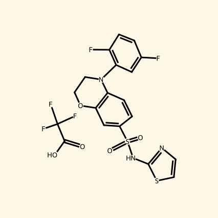 O=C(O)C(F)(F)F.O=S(=O)(Nc1nccs1)c1ccc2c(c1)OCCN2c1cc(F)ccc1F